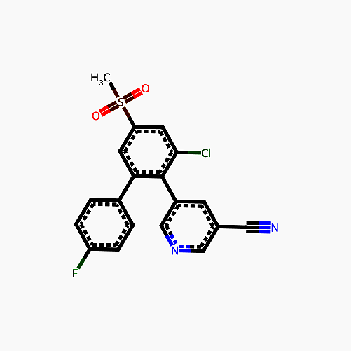 CS(=O)(=O)c1cc(Cl)c(-c2cncc(C#N)c2)c(-c2ccc(F)cc2)c1